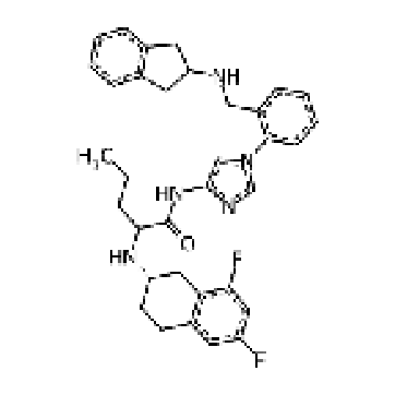 CCCC(N[C@H]1CCc2cc(F)cc(F)c2C1)C(=O)Nc1cn(-c2ccccc2CNC2Cc3ccccc3C2)cn1